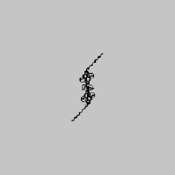 CCCCCCCCCCCCc1cc2cc(OC)c3c4sc(/C(OCC)=C(\OCC)c5cc6cc(OC)c7c8sc(CCCCCCCCCCCC)cc8cc(OC)c7c6s5)cc4cc(OC)c3c2s1